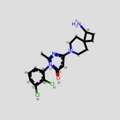 Cc1nc(N2CCC3(CCC3N)CC2)cc(=O)n1-c1cccc(Cl)c1Cl